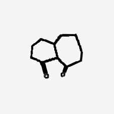 O=C1CCCCC2CCCC(=O)C12